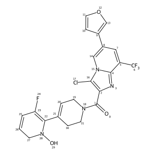 O=C(c1nc2c(C(F)(F)F)cc(-c3ccoc3)cn2c1Cl)N1CC=C(C2=C(F)C=CCN2O)CC1